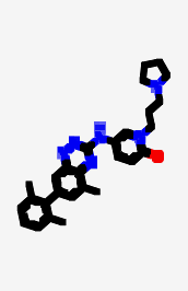 Cc1cccc(C)c1-c1cc(C)c2nc(Nc3ccc(=O)n(CCCN4CCCC4)c3)nnc2c1